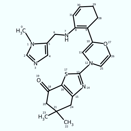 Cn1cncc1CNC1=C(C2=CN(c3nc4c(s3)C(=O)CC(C)(C)C4)C=CO2)CCC=C1